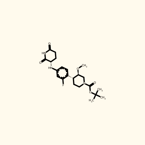 CO[C@H]1CN(C(=O)OC(C)(C)C)CC[C@@H]1c1ccc(N[C@H]2CCC(=O)NC2=O)cc1F